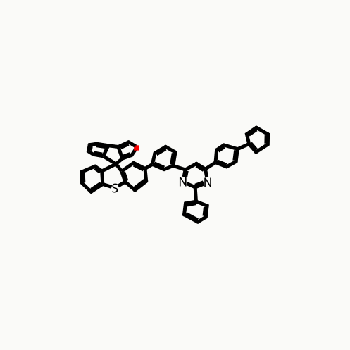 c1ccc(-c2ccc(-c3cc(-c4cccc(-c5ccc6c(c5)C5(c7ccccc7S6)c6ccccc6-c6ccccc65)c4)nc(-c4ccccc4)n3)cc2)cc1